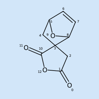 O=C1CC2(CC3C=CC2O3)C(=O)O1